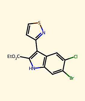 CCOC(=O)c1[nH]c2cc(Br)c(Cl)cc2c1-c1ccsn1